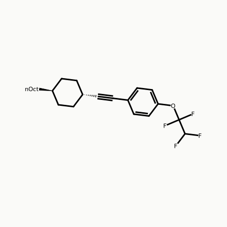 CCCCCCCC[C@H]1CC[C@H](C#Cc2ccc(OC(F)(F)C(F)F)cc2)CC1